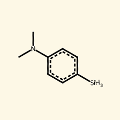 CN(C)c1ccc([SiH3])cc1